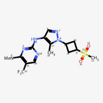 CNc1nc(Nc2cnn(C3CC(S(C)(=O)=O)C3)c2C)ncc1C(F)(F)F